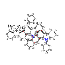 CC1(C)c2ccccc2-c2cc(-c3ccccc3N(c3ccc4c5ccccc5n(-c5ccccc5)c4c3)c3cccc(-c4ccccc4)c3-c3ccccc3-c3ccccc3)ccc21